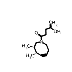 C=C(O)CCC(=O)N1CCC#C[C@H](C)[C@@H](C)C1